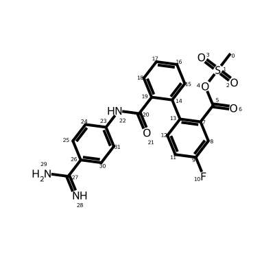 CS(=O)(=O)OC(=O)c1cc(F)ccc1-c1ccccc1C(=O)Nc1ccc(C(=N)N)cc1